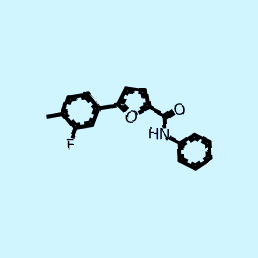 Cc1ccc(-c2ccc(C(=O)Nc3ccccc3)o2)cc1F